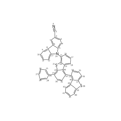 N#Cc1ccc2c(c1)c1ccccc1n2-c1cccc2c1sc1c(-c3ccccc3)ccc(-c3cccc4sc5ccccc5c34)c12